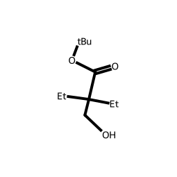 CCC(CC)(CO)C(=O)OC(C)(C)C